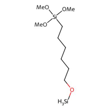 CO[Si](CCCCCCO[SiH3])(OC)OC